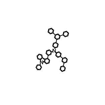 c1ccc(-c2cccc(-c3ccc(N(c4ccc(-c5cc(-c6ccccc6)cc(-c6ccccc6)c5)cc4)c4cccc(-c5cccc6c5c5ccccc5n6-c5ccccc5)c4)cc3)c2)cc1